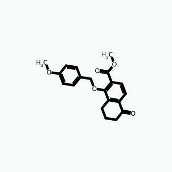 COC(=O)c1ccc2c(c1OCc1ccc(OC)cc1)CCCC2=O